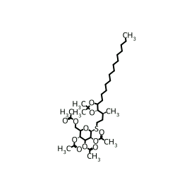 CCCCCCCCCCCCCCC1OC(C)(C)O[C@H]1[C@@H](C)CCS[C@@H]1OC(COC(C)=O)[C@@H](OC(C)=O)C(OC(C)=O)[C@@H]1OC(C)=O